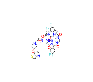 CN[C@@H](C)C(=O)N[C@H](C(=O)N1CCN(C(=O)c2cc3cc(F)c(F)cc3n2CC(=O)N2CCC[C@H]2COc2cc(CN3CCC(Oc4ccnc5ccsc45)CC3)on2)CC1)C1CCC(F)(F)CC1